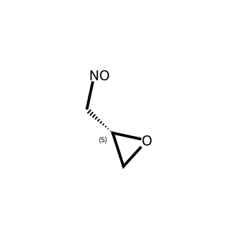 O=NC[C@H]1CO1